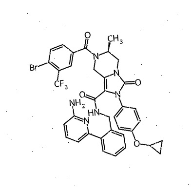 C[C@H]1Cn2c(c(C(=O)NCc3ccccc3-c3cccc(N)n3)n(-c3ccc(OC4CC4)cc3)c2=O)CN1C(=O)c1ccc(Br)c(C(F)(F)F)c1